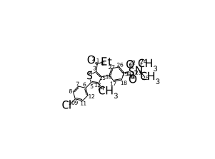 CCC(=O)c1sc(-c2ccc(Cl)cc2)c(C)c1-c1ccc(S(=O)(=O)N(C)C)cc1